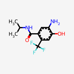 CC(C)NC(=O)c1cc(N)c(O)cc1C(F)(F)F